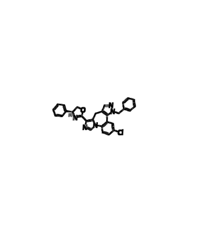 Clc1ccc2c(c1)-c1c(cnn1Cc1ccccc1)Cc1c(C3=N[C@@H](c4ccccc4)CO3)ncn1-2